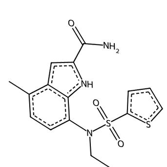 CCN(c1ccc(C)c2cc(C(N)=O)[nH]c12)S(=O)(=O)c1cccs1